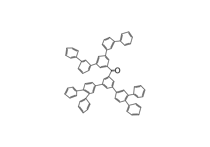 O=C(c1cc(-c2cccc(-c3ccccc3)c2)cc(-c2cccc(-c3ccccc3)c2)c1)c1cc(-c2ccc(-c3ccccc3)c(-c3ccccc3)c2)cc(-c2ccc(-c3ccccc3)c(-c3ccccc3)c2)c1